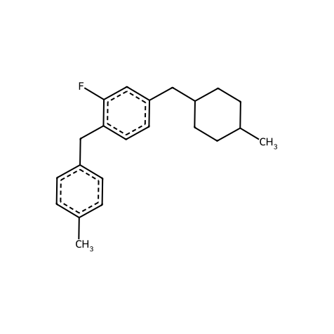 Cc1ccc(Cc2ccc(CC3CCC(C)CC3)cc2F)cc1